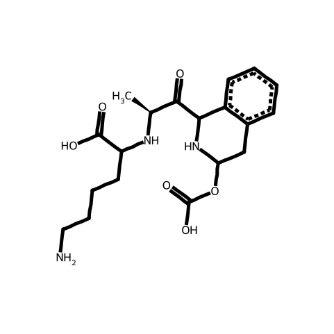 C[C@H](NC(CCCCN)C(=O)O)C(=O)C1NC(OC(=O)O)Cc2ccccc21